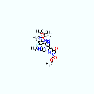 CCOC(=O)Cn1ccc(=O)c2cc(-c3cnc4[nH]c5c(N(C)C(=O)OC(C)(C)C)cc(F)cc5c4c3N3CCC4CN(C)CC43)cnc21